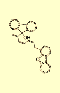 C=C(/C=C\C=C/Cc1cccc2c1oc1ccccc12)C1(O)c2ccccc2-c2ccccc21